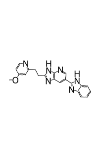 COc1ccnc(CCc2nc3cc(-c4nc5ccccc5[nH]4)cnc3[nH]2)c1